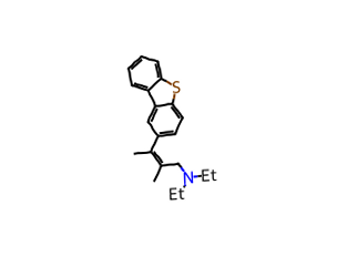 CCN(CC)CC(C)=C(C)c1ccc2sc3ccccc3c2c1